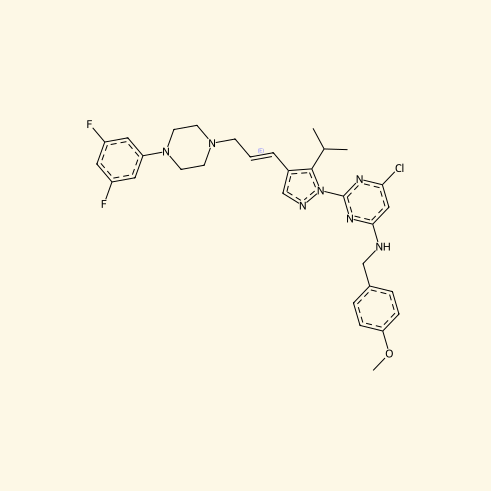 COc1ccc(CNc2cc(Cl)nc(-n3ncc(/C=C/CN4CCN(c5cc(F)cc(F)c5)CC4)c3C(C)C)n2)cc1